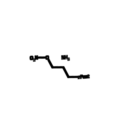 CCCCCCCCO[N+](=O)[O-].N